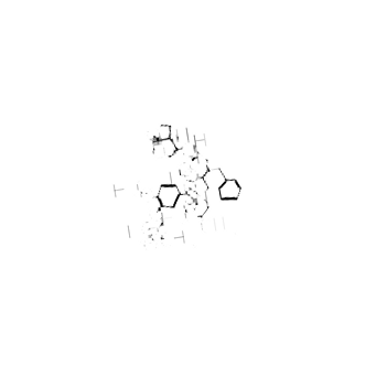 COc1ccc(S(=O)(=O)N(CC(C)C)C[C@@H](O)[C@H](Cc2ccccc2)NC(=O)O[C@H]2CO[C@H]3OCC[C@H]32)cc1OCP(C)(C)=O